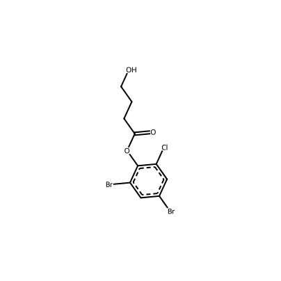 O=C(CCCO)Oc1c(Cl)cc(Br)cc1Br